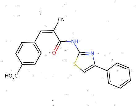 N#CC(=Cc1ccc(C(=O)O)cc1)C(=O)Nc1nc(-c2ccccc2)cs1